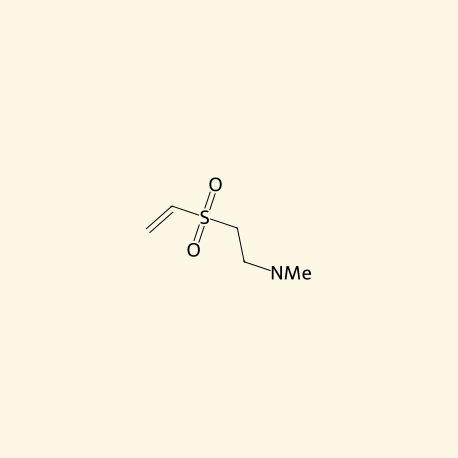 C=CS(=O)(=O)CCNC